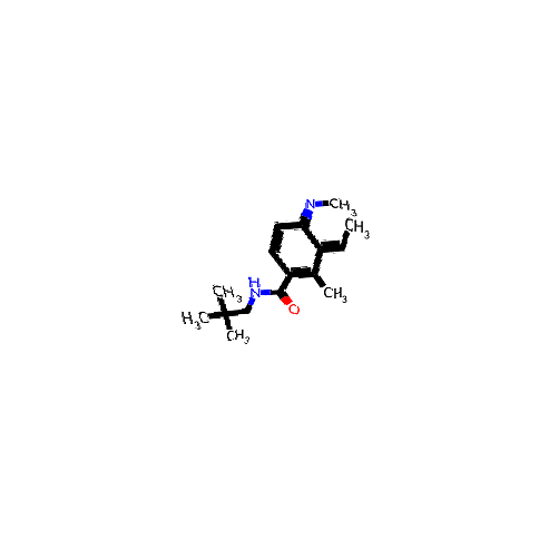 C/C=C1/C(C)=C(C(=O)NCC(C)(C)C)C=C/C1=N/C